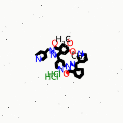 COc1cc2c(-c3ccnc(-n4nc(-c5cccnc5)c5ccccc5c4=O)c3)nn(Cc3ccncc3)c(=O)c2cc1OC.Cl.Cl